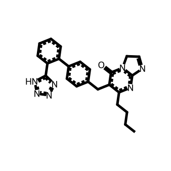 CCCCc1nc2n(c(=O)c1Cc1ccc(-c3ccccc3-c3nnn[nH]3)cc1)CC=N2